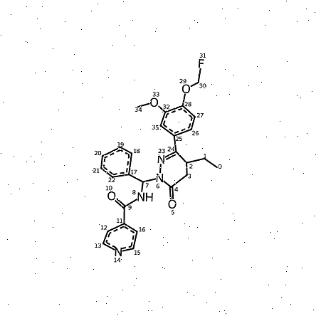 CCC1CC(=O)N(C(NC(=O)c2ccncc2)c2ccccc2)N=C1c1ccc(OCF)c(OC)c1